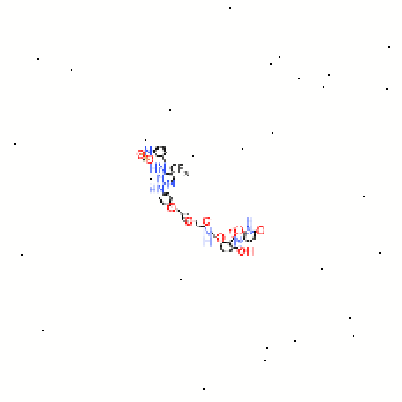 CN(c1cccc(CNc2nc(Nc3ccc(OCCCOCCC(=O)NCCOc4cccc5c4C(=O)N(C4CCC(=O)NC4=O)C5O)cc3)ncc2C(F)(F)F)c1)S(C)(=O)=O